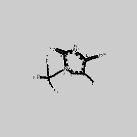 Cc1cn(C(F)(F)F)c(=O)[nH]c1=O